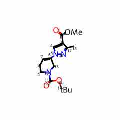 COC(=O)c1cn(C2=CCCN(C(=O)OC(C)(C)C)C2)nc1C